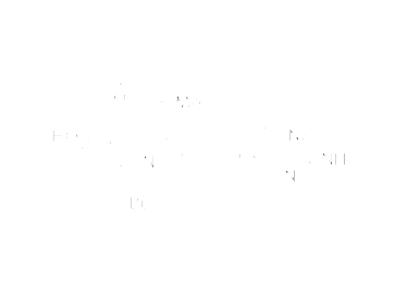 COc1c2n(cc(C(=O)O)c1=O)C(C(C)(C)C)Cc1cc(-c3cnc(N)nc3)ccc1-2